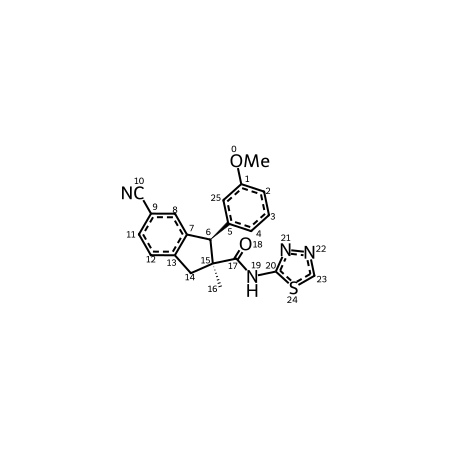 COc1cccc([C@@H]2c3cc(C#N)ccc3C[C@]2(C)C(=O)Nc2nncs2)c1